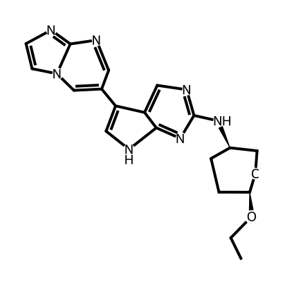 CCO[C@H]1CC[C@@H](Nc2ncc3c(-c4cnc5nccn5c4)c[nH]c3n2)CC1